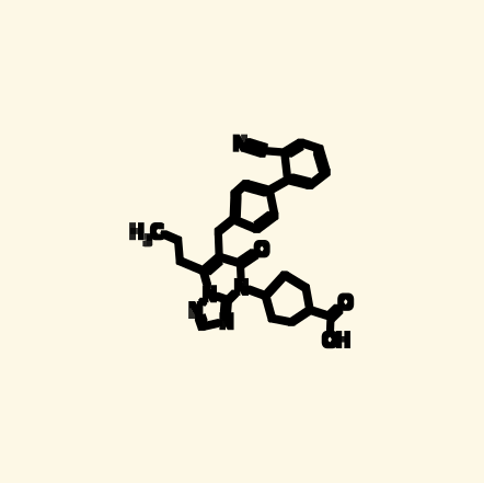 CCCc1c(Cc2ccc(-c3ccccc3C#N)cc2)c(=O)n(C2CCC(C(=O)O)CC2)c2ncnn12